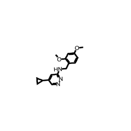 COc1ccc(CNc2cc(C3CC3)cnn2)c(OC)c1